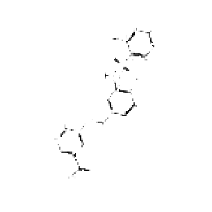 NC(=O)c1cncc(OCc2cccc(NS(=O)(=O)c3ccccc3Cl)c2)c1